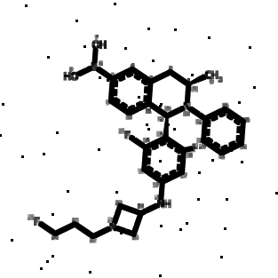 C[C@@H]1Cc2cc(B(O)O)ccc2[C@H](c2c(F)cc(NC3CN(CCCF)C3)cc2F)N1c1ccccc1